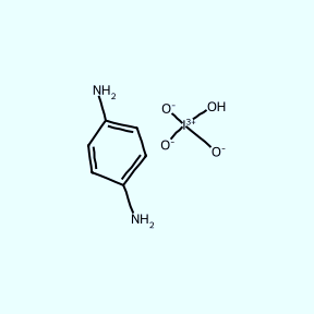 Nc1ccc(N)cc1.[O-][I+3]([O-])([O-])O